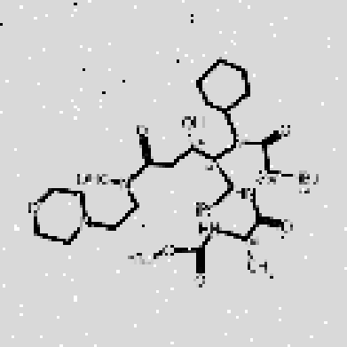 CC[C@H](C)[C@H](NC(=O)[C@H](C)NC(=O)OC(C)(C)C)C(=O)N(C1CCCCC1)[C@@H](CC(C)C)[C@@H](O)CC(=O)N(C=O)CCN1CCOCC1